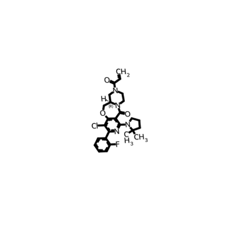 C=CC(=O)N1CCN2C(=O)c3c(N4CCCC4(C)C)nc(-c4ccccc4F)c(Cl)c3OC[C@H]2C1